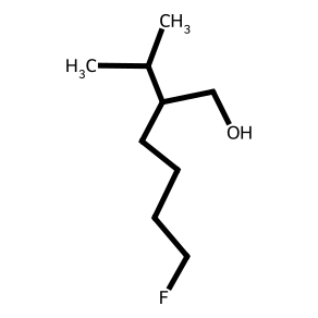 CC(C)C(CO)CCCCF